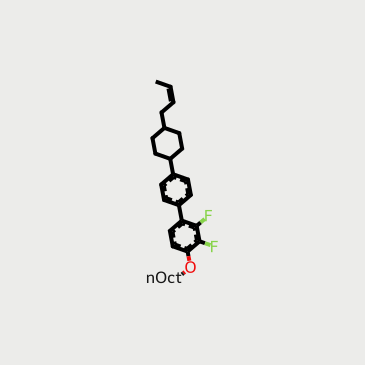 C/C=C\CC1CCC(c2ccc(-c3ccc(OCCCCCCCC)c(F)c3F)cc2)CC1